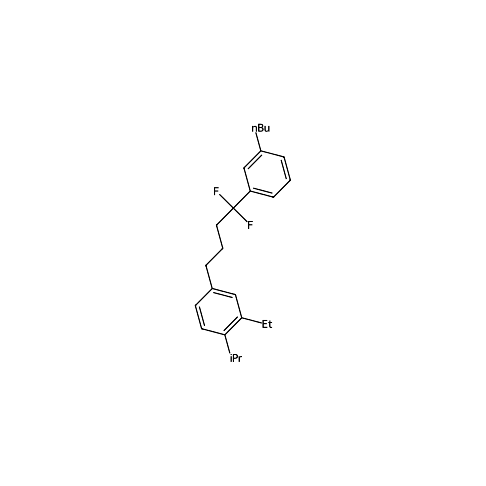 CCCCc1cccc(C(F)(F)CCCc2ccc(C(C)C)c(CC)c2)c1